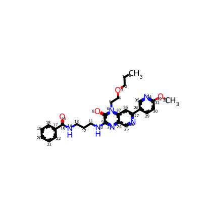 CCCOCCn1c(=O)c(NCCCNC(=O)c2ccccc2)nc2cnc(-c3ccc(OC)nc3)cc21